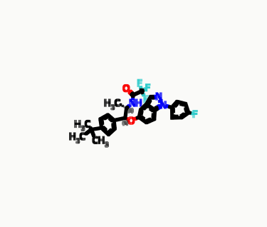 C[C@H](NC(=O)C(F)(F)F)[C@@H](Oc1ccc2c(cnn2-c2ccc(F)cc2)c1)c1ccc(C(C)(C)C)cc1